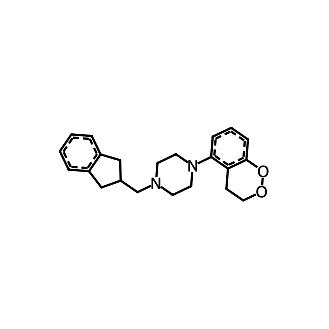 c1ccc2c(c1)CC(CN1CCN(c3cccc4c3CCOO4)CC1)C2